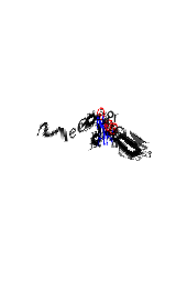 COc1ccc(C(=O)N2C=C(c3ccccc3)N(CC(=O)NC(Cc3ccccc3)C(=O)C(F)(F)F)C(=O)C2C(C)C)cc1